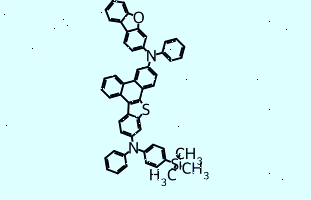 C[Si](C)(C)c1ccc(N(c2ccccc2)c2ccc3c(c2)sc2c4ccc(N(c5ccccc5)c5ccc6c(c5)oc5ccccc56)cc4c4ccccc4c32)cc1